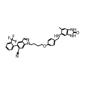 Cc1cc2[nH]c(=O)[nH]c2cc1NCc1ccc(OCCCCn2ncc3cc(-c4ccccc4C(F)(F)F)c(C#N)cc32)cc1